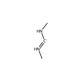 CN/[C-]=[NH+]/C